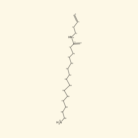 C=CCCNC(=C)CCCCCCCCCCCCCCN